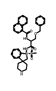 CS(=O)(=O)[N+]1(NC(=O)C(COCc2ccccc2)NC(=O)c2cccc3ccccc23)CC2(CCNCC2)c2ccccc21